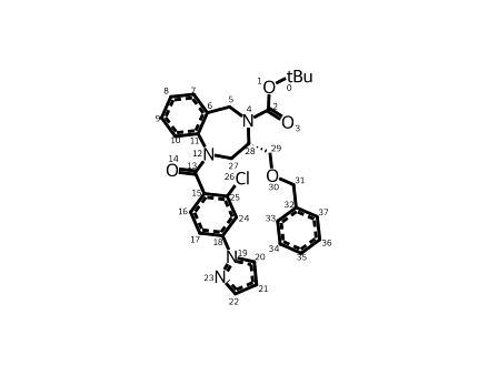 CC(C)(C)OC(=O)N1Cc2ccccc2N(C(=O)c2ccc(-n3cccn3)cc2Cl)C[C@H]1COCc1ccccc1